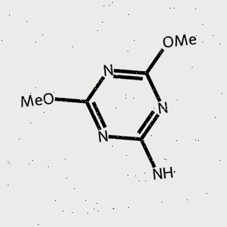 COc1nc([NH])nc(OC)n1